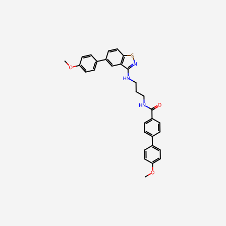 COc1ccc(-c2ccc(C(=O)NCCCNc3nsc4ccc(-c5ccc(OC)cc5)cc34)cc2)cc1